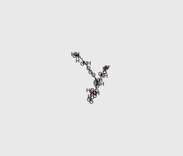 C[C@@H]1NC(=O)N[C@@H]1CCCCCC(=O)NCCCOCCOCCOCCCNC(=O)C(CCCCNC(=O)c1cccc(N=[N+]=[N-])c1)NC(=O)OCCC[C@]12O[C@H]1[C@@H]1O[C@]13[C@]1(O[C@H]1C[C@H]1C4=C(CC[C@@]13C)C(=O)OC4)[C@@H]2O